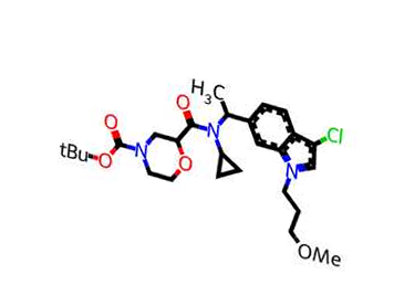 COCCCn1cc(Cl)c2ccc(C(C)N(C(=O)C3CN(C(=O)OC(C)(C)C)CCO3)C3CC3)cc21